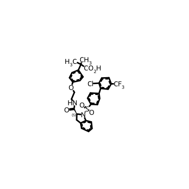 CC(C)(C(=O)O)c1ccc(OCCNC(=O)[C@@H]2Cc3ccccc3N2S(=O)(=O)c2ccc(-c3cc(C(F)(F)F)ccc3Cl)cc2)cc1